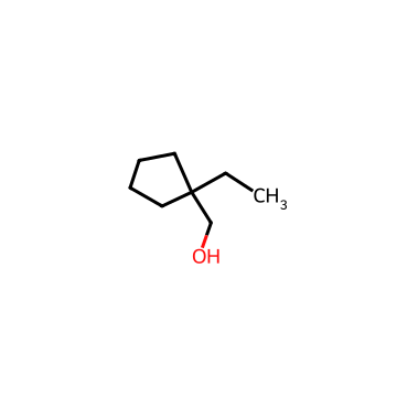 CCC1(CO)CCCC1